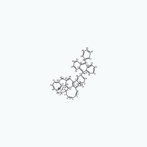 C=C1/C=C\C=C/CC(C)(C)c2c1c(-c1cccc(-c3c4ccccc4c(-c4ccccc4)c4ccccc34)c1)cc1sc3ccccc3c21